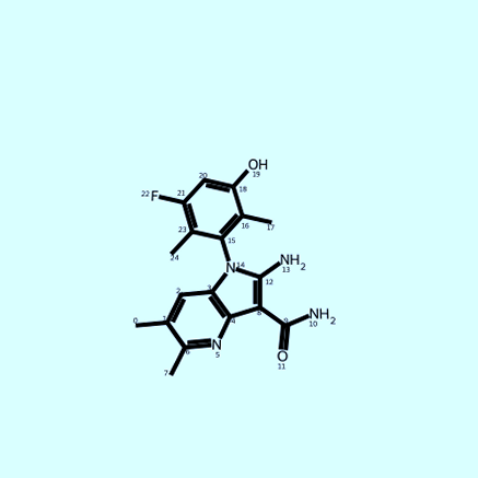 Cc1cc2c(nc1C)c(C(N)=O)c(N)n2-c1c(C)c(O)cc(F)c1C